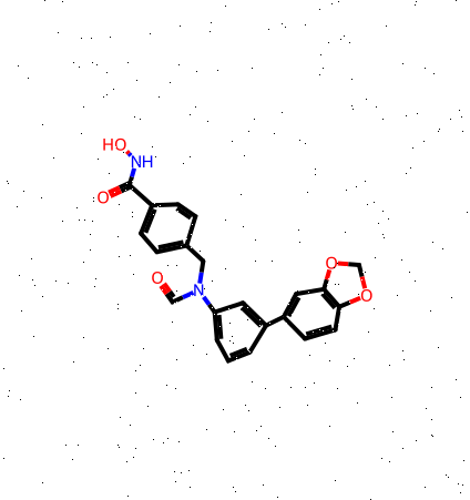 O=CN(Cc1ccc(C(=O)NO)cc1)c1cccc(-c2ccc3c(c2)OCO3)c1